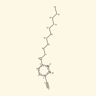 C#Cc1ccc(OCCCCCCCCCC)nn1